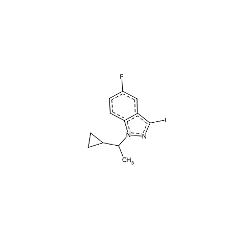 CC(C1CC1)n1nc(I)c2cc(F)ccc21